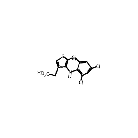 O=C(O)Cc1csc(Cl)c1Nc1c(Cl)cc(Cl)cc1Cl